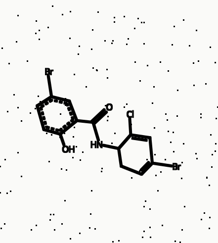 O=C(NC1CC=C(Br)C=C1Cl)c1cc(Br)ccc1O